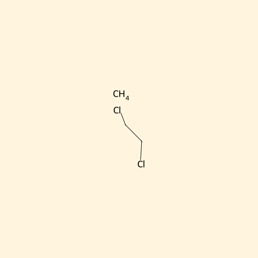 C.ClCCCl